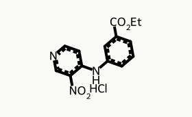 CCOC(=O)c1cccc(Nc2ccncc2[N+](=O)[O-])c1.Cl